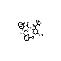 N#Cc1ccc2c(c1)c(C(N)=O)nn2CC(=O)N1[C@H]2CCC(C2)C[C@H]1C(=O)Nc1cccc(Cl)n1